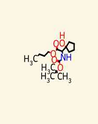 CCCCOC(=O)C(NC(=O)OC(C)(C)C)C1(O)CCCC1